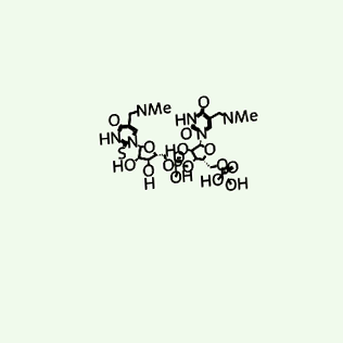 CNCc1cn([C@@H]2O[C@H](COP(=O)(O)O[C@H]3[C@@H](O)[C@H](n4cc(CNC)c(=O)[nH]c4=O)O[C@@H]3COP(=O)(O)O)[C@@H](O)[C@H]2O)c(=S)[nH]c1=O